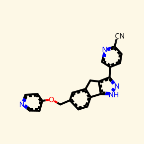 N#Cc1ccc(-c2n[nH]c3c2Cc2cc(COc4ccncc4)ccc2-3)cn1